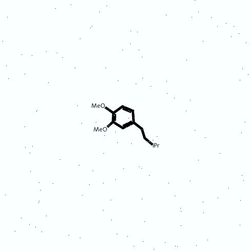 COc1ccc(CCC(C)C)cc1OC